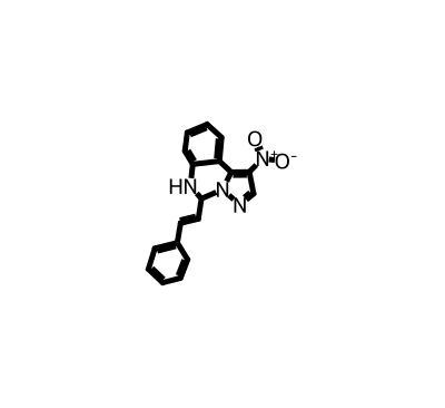 O=[N+]([O-])c1cnn2c1-c1ccccc1NC2C=Cc1ccccc1